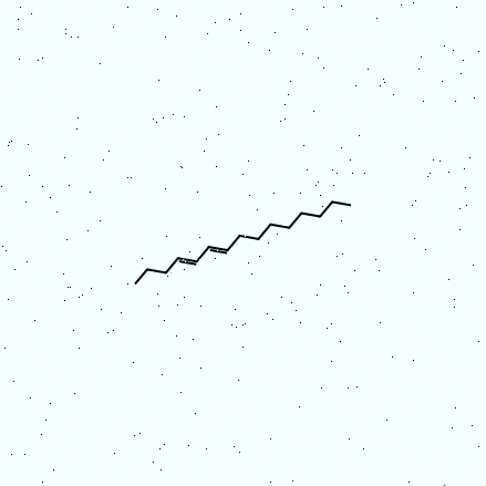 CC[CH]C=CC=CCCCCCCCC